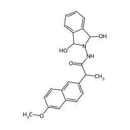 COc1ccc2cc(C(C)C(=O)NN3C(O)c4ccccc4C3O)ccc2c1